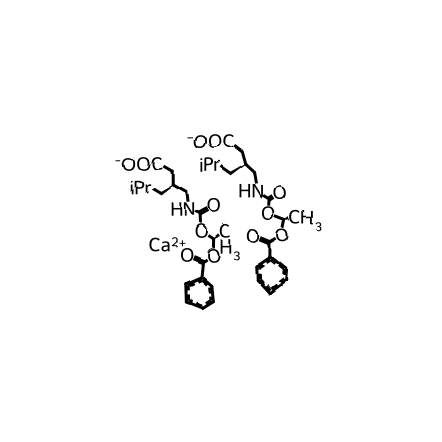 CC(C)C[C@H](CNC(=O)O[C@@H](C)OC(=O)c1ccccc1)CC(=O)[O-].CC(C)C[C@H](CNC(=O)O[C@@H](C)OC(=O)c1ccccc1)CC(=O)[O-].[Ca+2]